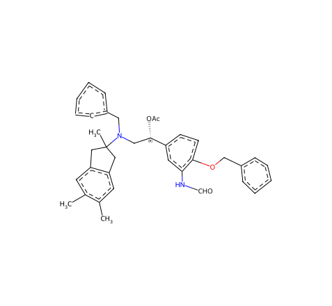 CC(=O)O[C@@H](CN(Cc1ccccc1)C1(C)Cc2cc(C)c(C)cc2C1)c1ccc(OCc2ccccc2)c(NC=O)c1